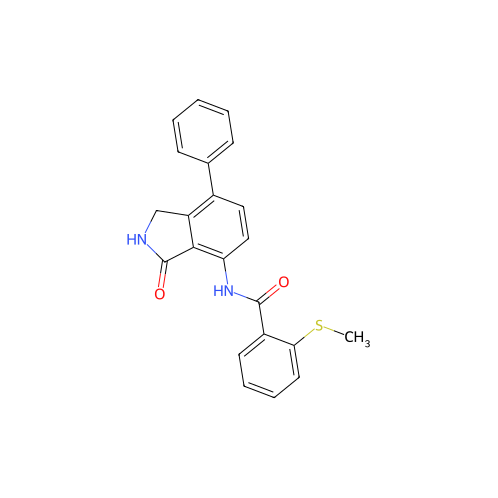 CSc1ccccc1C(=O)Nc1ccc(-c2ccccc2)c2c1C(=O)NC2